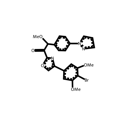 COc1cc(-c2coc(C(=O)C(OC)c3ccc(-n4cccn4)cc3)n2)cc(OC)c1Br